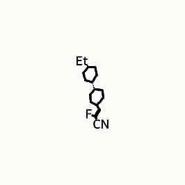 CC[C@H]1CC[C@H](C2CCC(C=C(F)C#N)CC2)CC1